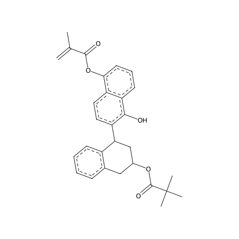 C=C(C)C(=O)Oc1cccc2c(O)c(C3CC(OC(=O)C(C)(C)C)Cc4ccccc43)ccc12